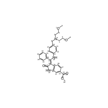 COCCN(CCOC)Cc1ccc(NC(=C2C(=O)Nc3cc(C(=O)OC)ccc32)c2ccccc2)cc1